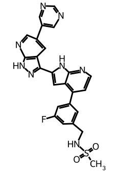 CS(=O)(=O)NCc1cc(F)cc(-c2ccnc3[nH]c(-c4n[nH]c5ncc(-c6cncnc6)cc45)cc23)c1